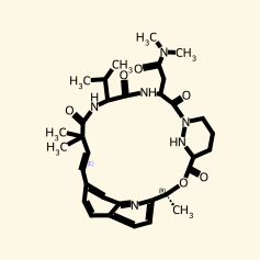 CC(C)C1NC(=O)C(C)(C)/C=C/c2ccc3ccc(nc3c2)[C@@H](C)OC(=O)C2CCCN(N2)C(=O)C(CC(=O)N(C)C)NC1=O